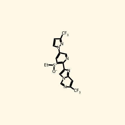 CC[S+]([O-])c1cc(-n2ccc(C(F)(F)F)n2)cnc1-c1cn2cnc(C(F)(F)F)cc2n1